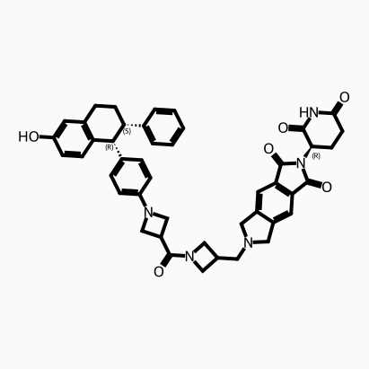 O=C1CC[C@@H](N2C(=O)c3cc4c(cc3C2=O)CN(CC2CN(C(=O)C3CN(c5ccc([C@@H]6c7ccc(O)cc7CC[C@@H]6c6ccccc6)cc5)C3)C2)C4)C(=O)N1